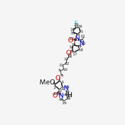 COc1cc2c(cc1OCCCCCCCOc1ccc3nc(C)n(-c4ccc(F)cc4)c(=O)c3c1)N=C[C@@H]1CCCN1C2=O